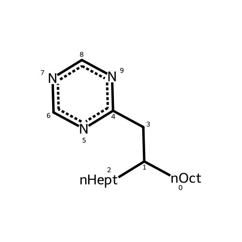 CCCCCCCCC(CCCCCCC)Cc1ncncn1